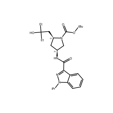 CCC(O)(CC)C[C@@H]1C[C@H](NC(=O)c2nn(C(C)C)c3ccccc23)CN1C(=O)OC(C)(C)C